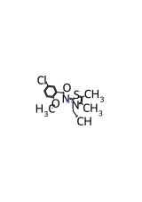 C#CCn1c(C)c(C)s/c1=N\C(=O)c1cc(Cl)ccc1OC